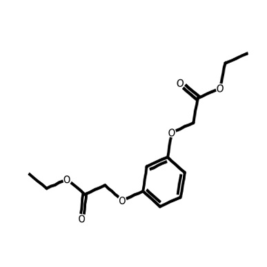 CCOC(=O)COc1cccc(OCC(=O)OCC)c1